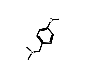 COc1ccc(CN(C)C)cc1